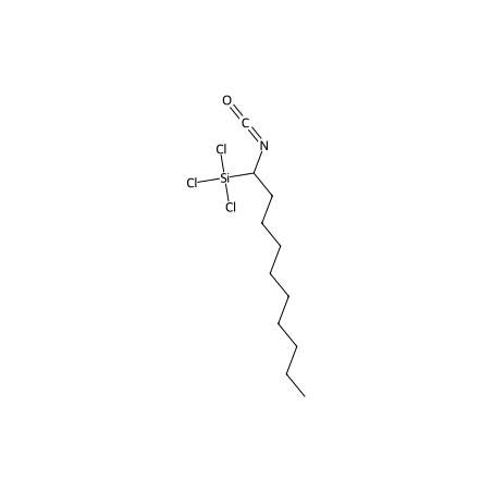 CCCCCCCCCC(N=C=O)[Si](Cl)(Cl)Cl